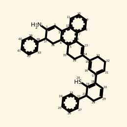 NC1=Cc2c(c3c(c4ccccc24)C=C(C2=CC(C4=C(S)C(c5ccccc5)CC=C4)=CCC2)CC3)CC1c1ccccc1